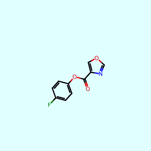 O=C(Oc1ccc(F)cc1)c1cocn1